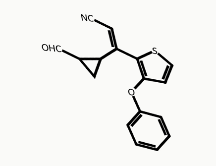 N#CC=C(c1sccc1Oc1ccccc1)C1CC1C=O